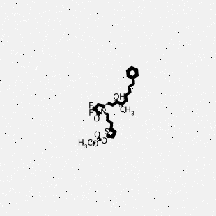 COC(=O)Oc1ccc(CCCN2C(=O)C(F)(F)C[C@@H]2CC[C@@H](O)[C@@H](C)CCCCCc2ccccc2)s1